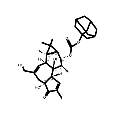 CC1=C[C@H]2[C@@]3(O)[C@H](C)[C@@H](OC(=O)OC45CC6CC(CC(C6)C4)C5)[C@]4(O)[C@@H]([C@@H]3C=C(CO)C[C@]2(O)C1=O)C4(C)C